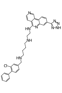 Clc1cc(CNCCCCNCCNc2nc3cc(-c4nn[nH]n4)ccc3c3cnccc23)ccc1-c1ccccc1